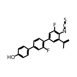 C=C(C)c1cc(-c2ccc(-c3ccc(O)cc3)cc2F)cc(F)c1N=C=S